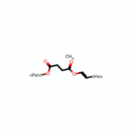 C.CCCCCCC=COC(=O)CCC(=O)OCCCCC